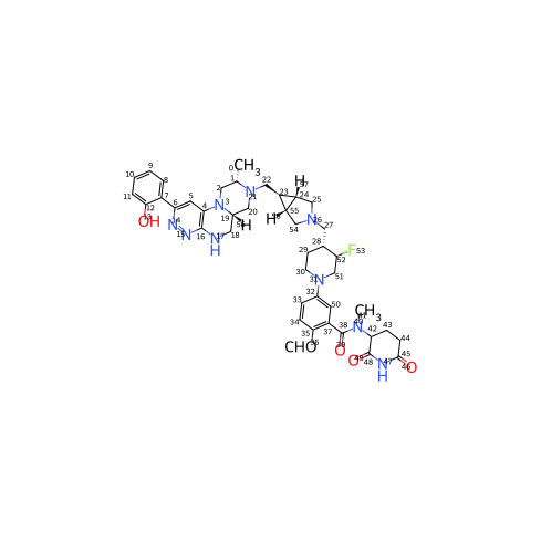 C[C@H]1CN2c3cc(-c4ccccc4O)nnc3NC[C@H]2CN1C[C@H]1[C@@H]2CN(C[C@H]3CCN(c4ccc(C=O)c(C(=O)N(C)C5CCC(=O)NC5=O)c4)C[C@@H]3F)C[C@@H]21